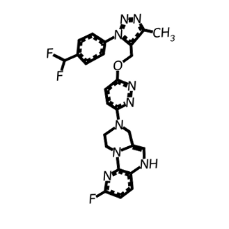 Cc1nnn(-c2ccc(C(F)F)cc2)c1COc1ccc(N2CCN3C(=CNc4ccc(F)nc43)C2)nn1